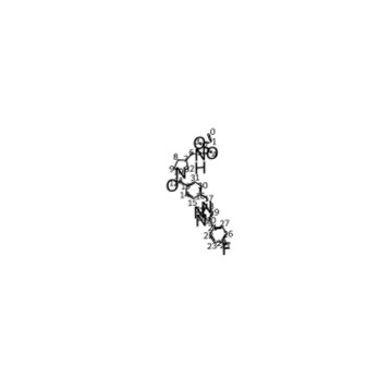 C=CS(=O)(=O)NCC1CCN(C(=O)c2ccc(Cn3cc(-c4ccc(F)cc4)nn3)cc2)C1